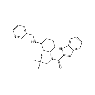 O=C(c1cc2ccccc2[nH]1)N(CC(F)(F)F)[C@H]1CCCC(NCc2cccnc2)C1